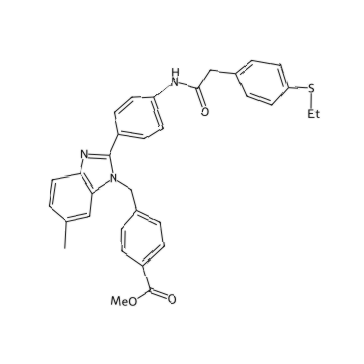 CCSc1ccc(CC(=O)Nc2ccc(-c3nc4ccc(C)cc4n3Cc3ccc(C(=O)OC)cc3)cc2)cc1